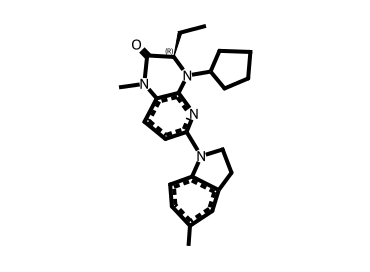 CC[C@@H]1C(=O)N(C)c2ccc(N3CCc4cc(C)ccc43)nc2N1C1CCCC1